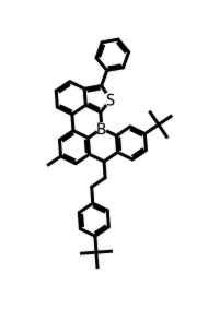 Cc1cc2c3c(c1)C(CCc1ccc(C(C)(C)C)cc1)c1ccc(C(C)(C)C)cc1B3c1sc(-c3ccccc3)c3cccc-2c13